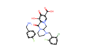 NCc1ccc(F)cc1.O=C(O)c1cn2c(c(O)c1=O)C(=O)N1CCCN(Cc3c(F)cccc3Cl)C1C2